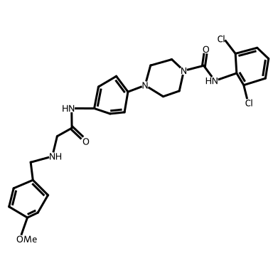 COc1ccc(CNCC(=O)Nc2ccc(N3CCN(C(=O)Nc4c(Cl)cccc4Cl)CC3)cc2)cc1